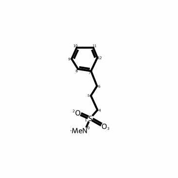 C[N]S(=O)(=O)CCCc1ccccc1